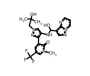 Cn1cc(C(F)(F)F)cc(-c2nn(CC(C)(C)O)cc2NC(O)c2cnn3cccnc23)c1=O